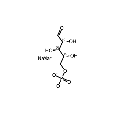 O=C[C@H](O)[C@H](O)[C@H](O)COP(=O)([O-])[O-].[Na+].[Na+]